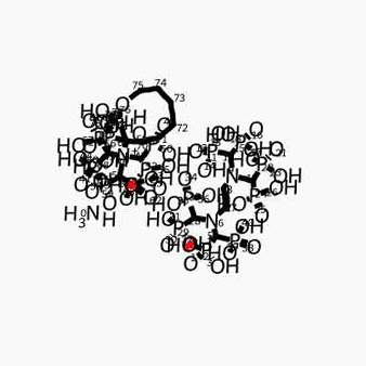 N.O=P(O)(O)C(N(CCN(C(P(=O)(O)O)P(=O)(O)O)C(P(=O)(O)O)P(=O)(O)O)C(P(=O)(O)O)P(=O)(O)O)P(=O)(O)O.O=P(O)(O)C([N+](C(P(=O)(O)O)P(=O)(O)O)(C(P(=O)(O)O)P(=O)(O)O)C1(P(=O)(O)O)CCCCCCOP1(=O)O)P(=O)(O)O